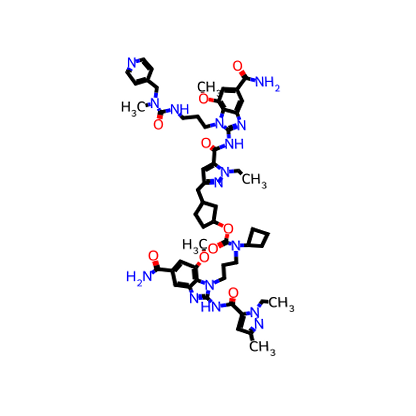 CCn1nc(C)cc1C(=O)Nc1nc2cc(C(N)=O)cc(OC)c2n1CCCN(C(=O)OC1CCC(Cc2cc(C(=O)Nc3nc4cc(C(N)=O)cc(OC)c4n3CCCNC(=O)N(C)Cc3ccncc3)n(CC)n2)C1)C1CCC1